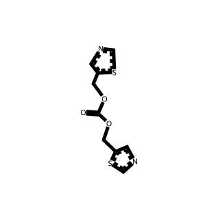 O=C(OCc1cncs1)OCc1cncs1